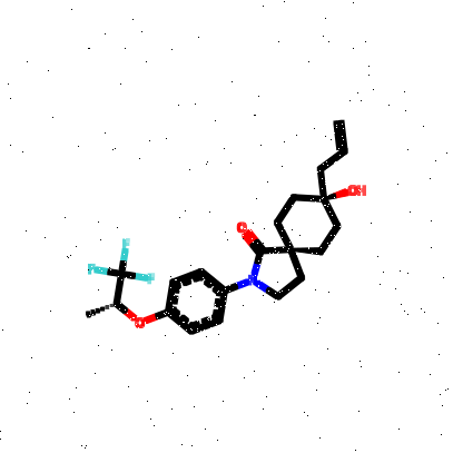 C=CC[C@]1(O)CC[C@]2(CCN(c3ccc(O[C@H](C)C(F)(F)F)cc3)C2=O)CC1